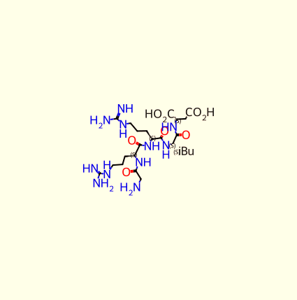 CC[C@H](C)[C@H](NC(=O)[C@H](CCCNC(=N)N)NC(=O)[C@H](CCCNC(=N)N)NC(=O)CN)C(=O)N[C@@H](CC(=O)O)C(=O)O